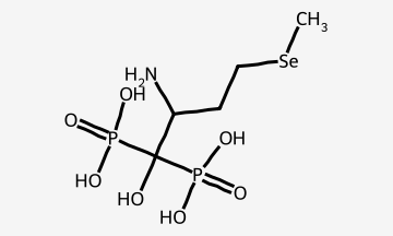 C[Se]CCC(N)C(O)(P(=O)(O)O)P(=O)(O)O